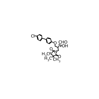 CN1C(=O)N(CC(COc2ccc(-c3ccc(Cl)cc3)cc2)N(O)C=O)C(=O)C1(C)C